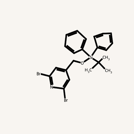 CC(C)(C)[Si](OCc1cc(Br)nc(Br)c1)(c1ccccc1)c1ccccc1